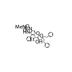 CCC(C1=C(O)CC(CCc2ccccc2)(CCc2ccccc2)OC1=O)c1ccc2nc(S(=O)(=O)NC)[nH]c2c1-c1ccccc1